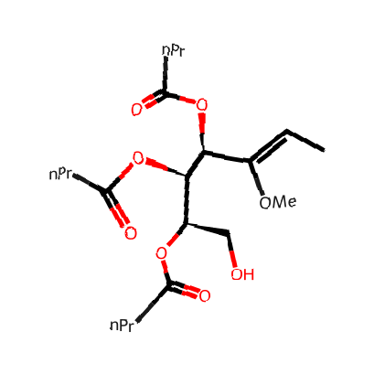 C/C=C(\OC)[C@H](OC(=O)CCC)[C@H](OC(=O)CCC)[C@@H](CO)OC(=O)CCC